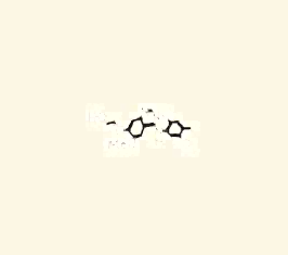 COc1cc2c(Nc3cc(O)c(C)cc3F)ncnc2cc1OCCO